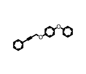 C(#Cc1ccccc1)COc1ccc(Oc2ccccc2)cc1